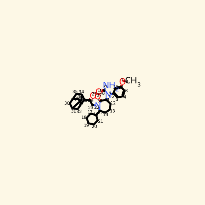 COc1cccc(N(C(N)=O)C2CCCC(C3CCCCC3)N(CC(=O)C3C4CC5CC(C4)CC3C5)C2=O)c1